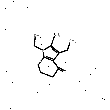 CCc1c2c(n(CO)c1C)CCCC2=O